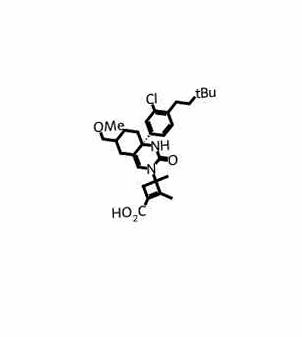 COCC1CC[C@@]2(c3ccc(CCC(C)(C)C)c(Cl)c3)NC(=O)N(C3(C)CC(C(=O)O)=C3C)C=C2C1